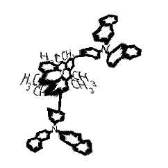 CC1(C)c2cccc3c2N2c4c1cc(-c1ccc(N(c5ccc6ccccc6c5)c5ccc6ccccc6c5)cc1)cc4C(C)(C)c1cc(-c4ccc(N(c5ccc6ccccc6c5)c5ccc6ccccc6c5)cc4)cc(c12)C3(C)C